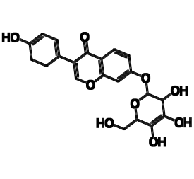 O=c1c(C2=CC=C(O)CC2)coc2cc(OC3OC(CO)C(O)=C(O)C3O)ccc12